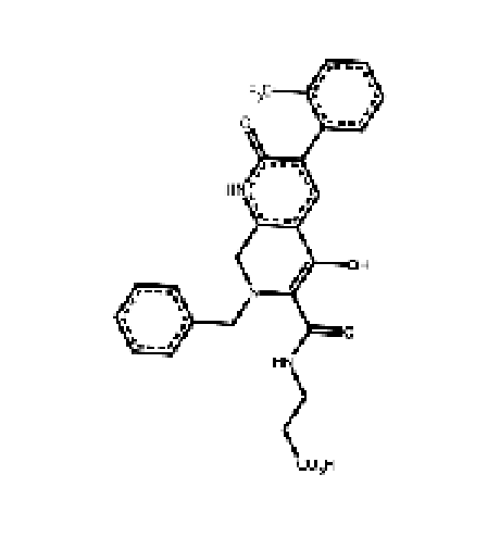 O=C(O)CCNC(=O)C1=C(O)c2cc(-c3ccccc3C(F)(F)F)c(=O)[nH]c2CN1Cc1ccccc1